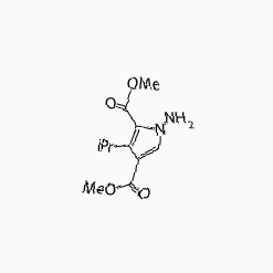 COC(=O)c1cn(N)c(C(=O)OC)c1C(C)C